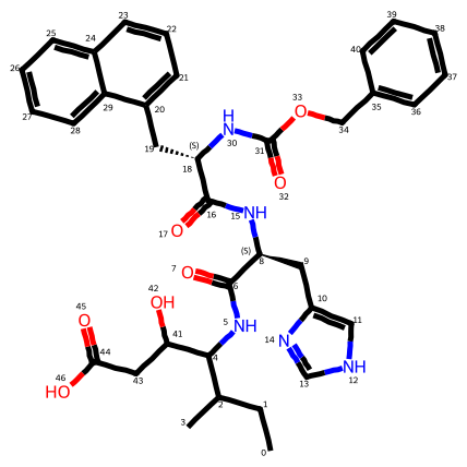 CCC(C)C(NC(=O)[C@H](Cc1c[nH]cn1)NC(=O)[C@H](Cc1cccc2ccccc12)NC(=O)OCc1ccccc1)C(O)CC(=O)O